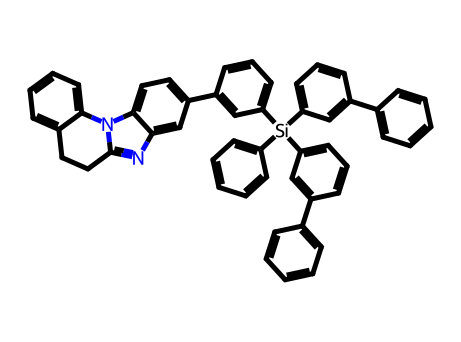 c1ccc(-c2cccc([Si](c3ccccc3)(c3cccc(-c4ccccc4)c3)c3cccc(-c4ccc5c(c4)nc4n5-c5ccccc5CC4)c3)c2)cc1